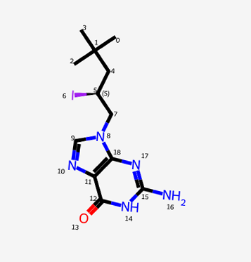 CC(C)(C)C[C@H](I)Cn1cnc2c(=O)[nH]c(N)nc21